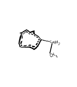 [CH3][GeH2][c]1ccccc1